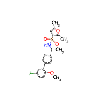 COc1ccc(F)cc1-c1ccc([C@@H](C)NS(=O)(=O)c2cc(C)oc2C)cc1